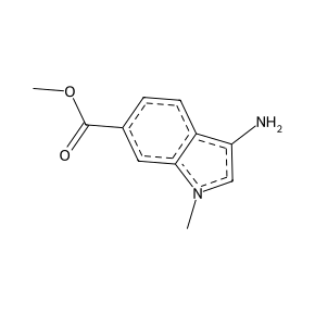 COC(=O)c1ccc2c(N)cn(C)c2c1